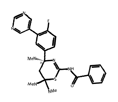 CNC1(NC)C[C@@](NC)(c2ccc(F)c(-c3cncnc3)c2)N=C(NC(=O)c2ccccc2)S1